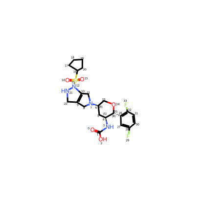 O=C(O)N[C@H]1C[C@@H](N2CC3=C(C2)N(S(=O)(=O)C2CCCC2)NC3)CO[C@@H]1c1cc(F)ccc1F